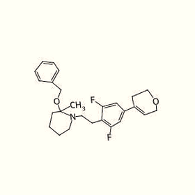 CC1(OCc2ccccc2)CCCCN1CCc1c(F)cc(C2=CCOCC2)cc1F